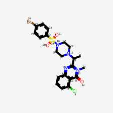 CC(c1nc2cccc(Cl)c2c(=O)n1C)N1CCN(S(=O)(=O)c2ccc(Br)cc2)CC1